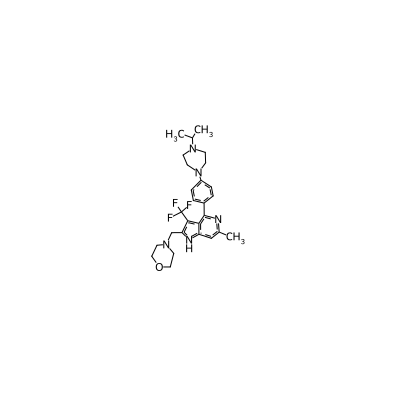 Cc1cc2[nH]c(CN3CCOCC3)c(C(F)(F)F)c2c(-c2ccc(N3CCN(C(C)C)CC3)cc2)n1